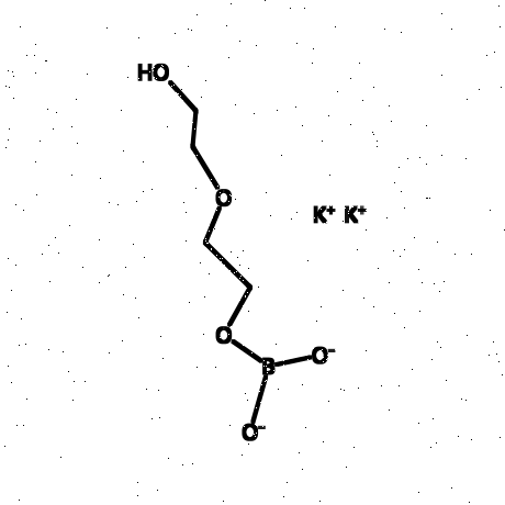 [K+].[K+].[O-]B([O-])OCCOCCO